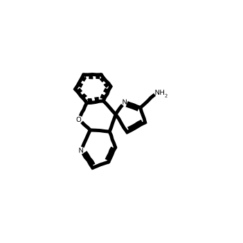 NC1=NC2(C=C1)c1ccccc1OC1N=CC=CC12